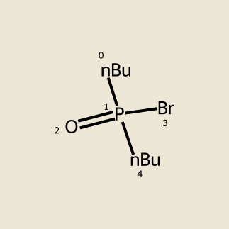 CCCCP(=O)(Br)CCCC